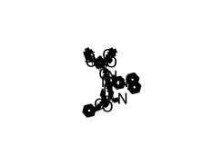 CC(C)(C)OC(=O)N1C[C@H](O[Si](C)(C)C(C)(C)C)C[C@@H]1COc1nc2c(c(N3CCN(C(=O)OCc4ccccc4)[C@H](CC#N)C3)n1)CCN(c1cccc3ccccc13)C2